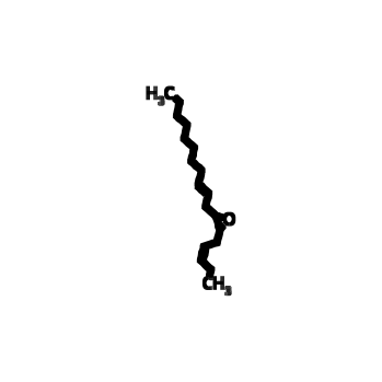 CC/C=C\CC1OC1CC=CCCCCCCCC